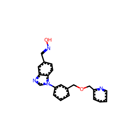 ON=Cc1ccc2c(c1)ncn2-c1cccc(COCc2ccccn2)c1